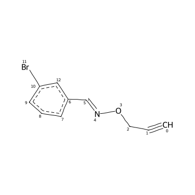 C#CCON=[C]c1cccc(Br)c1